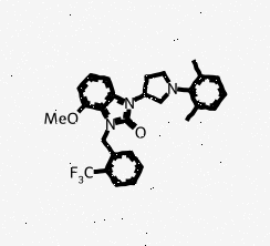 COc1cccc2c1n(Cc1ccccc1C(F)(F)F)c(=O)n2C1CCN(c2c(C)cccc2C)C1